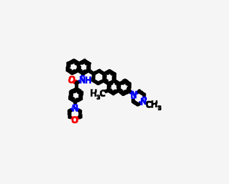 Cc1cc2cc(N3CCN(C)CC3)ccc2c2ccc3c(c12)CCC(c1ccc2ccccc2c1NC(=O)c1ccc(N2CCOCC2)cc1)C3